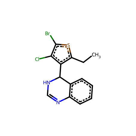 CCc1sc(Br)c(Cl)c1C1NC=Nc2ccccc21